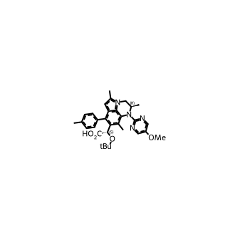 COc1cnc(N2c3c(C)c([C@H](OC(C)(C)C)C(=O)O)c(-c4ccc(C)cc4)c4cc(C)n(c34)C[C@H]2C)nc1